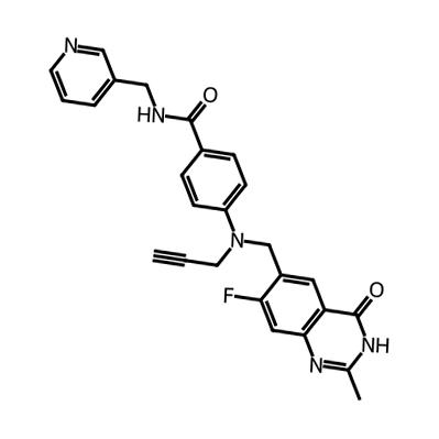 C#CCN(Cc1cc2c(=O)[nH]c(C)nc2cc1F)c1ccc(C(=O)NCc2cccnc2)cc1